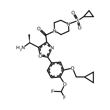 C[C@H](N)c1oc(-c2ccc(OC(F)F)c(OCC3CC3)c2)nc1C(=O)N1CCN(S(=O)(=O)C2CC2)CC1